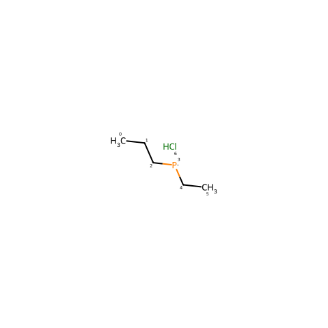 CCC[P]CC.Cl